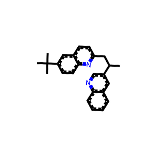 CC(Cc1ccc2cc(C(C)(C)C)ccc2n1)c1cnc2ccccc2c1